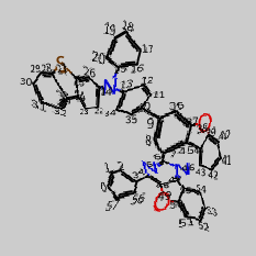 c1ccc(-c2nc(-c3cc(-c4ccc(N(c5ccccc5)c5ccc6c(c5)sc5ccccc56)cc4)cc4oc5ccccc5c34)nc3c2oc2ccccc23)cc1